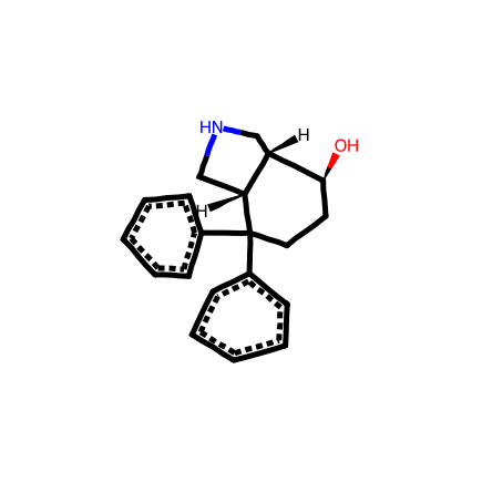 O[C@H]1CCC(c2ccccc2)(c2ccccc2)[C@@H]2CNC[C@@H]21